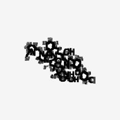 CC[C@H](C)[C@@H](C(=O)N[C@@H](Cc1ccccc1)[C@@H](O)CN(Cc1cccc(Oc2ccc(Cl)cc2)c1)NC(=O)[C@@H](NC(=O)O)C(C)(C)C)N1CCN(Cc2cccc(C)n2)C1=O